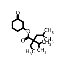 CCC(CC(C)C)(C(=O)OC1CCCC(=O)C1)C(C)C